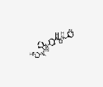 CN(c1nn(-c2ccc(NC(=O)NCc3cccnc3)cc2)c2ccccc12)C1CCNC1